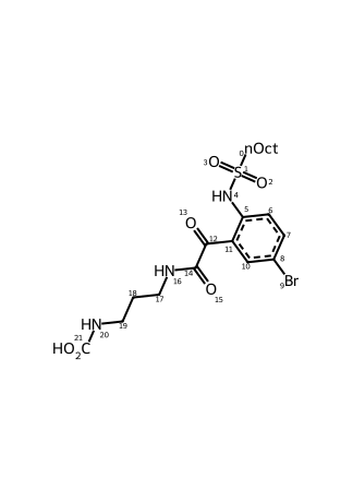 CCCCCCCCS(=O)(=O)Nc1ccc(Br)cc1C(=O)C(=O)NCCCNC(=O)O